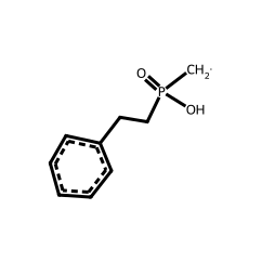 [CH2]P(=O)(O)CCc1ccccc1